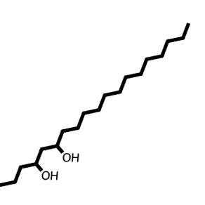 CCCCCCCCCCCCCC(O)CC(O)CCC